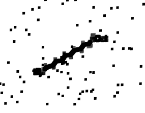 [CH2]C(C)(C)CCCCCCCCCCCCCCCCCC